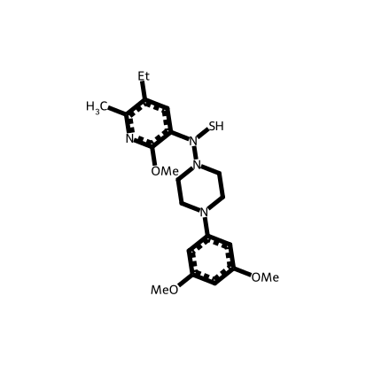 CCc1cc(N(S)N2CCN(c3cc(OC)cc(OC)c3)CC2)c(OC)nc1C